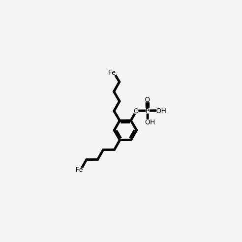 O=P(O)(O)Oc1ccc(CCC[CH2][Fe])cc1CCC[CH2][Fe]